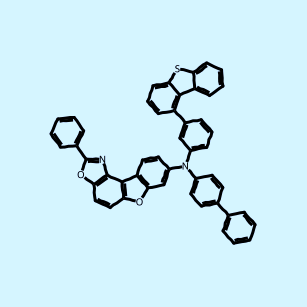 c1ccc(-c2ccc(N(c3cccc(-c4cccc5sc6ccccc6c45)c3)c3ccc4c(c3)oc3ccc5oc(-c6ccccc6)nc5c34)cc2)cc1